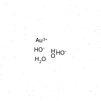 O.[Au+3].[OH-].[OH-].[OH-]